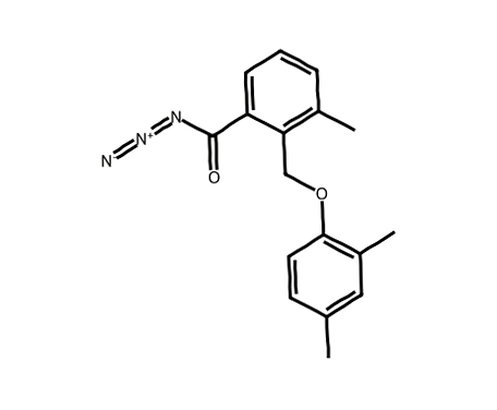 Cc1ccc(OCc2c(C)cccc2C(=O)N=[N+]=[N-])c(C)c1